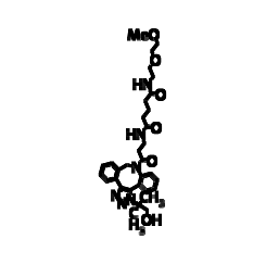 COCCOCCNC(=O)CCCC(=O)NCCC(=O)N1Cc2ccccc2-c2nnn(C(C)(C)CO)c2-c2ccccc21